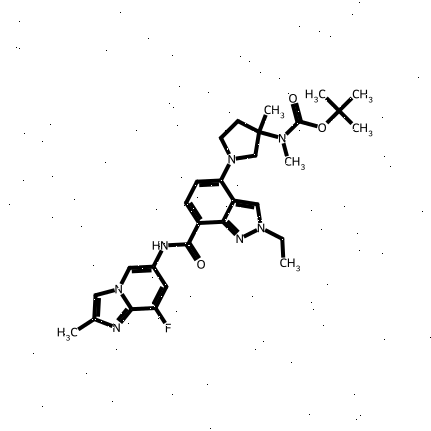 CCn1cc2c(N3CCC(C)(N(C)C(=O)OC(C)(C)C)C3)ccc(C(=O)Nc3cc(F)c4nc(C)cn4c3)c2n1